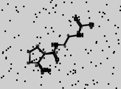 CCC(=O)NCCNC(=O)[C@@H]1CCC[C@@H]1NC